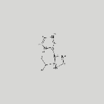 CC(C)c1ncnn1-c1cnccn1